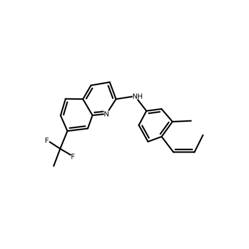 C/C=C\c1ccc(Nc2ccc3ccc(C(C)(F)F)cc3n2)cc1C